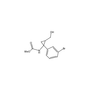 COC(=O)NC1(c2cccc(Br)c2)CC1CO